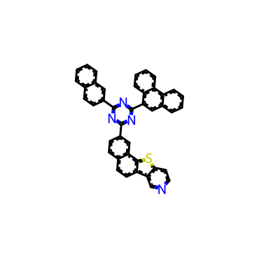 c1ccc2cc(-c3nc(-c4ccc5ccc6c7cnccc7sc6c5c4)nc(-c4cc5ccccc5c5ccccc45)n3)ccc2c1